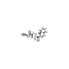 CC(C)(C)OC(=O)N1CCC(Nc2ccc3ccccc3n2)CC1